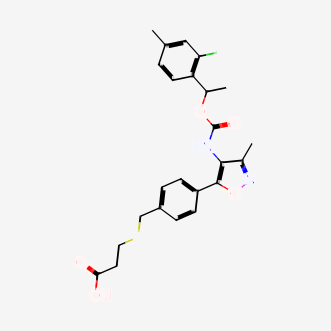 Cc1ccc(C(C)OC(=O)Nc2c(C)noc2-c2ccc(CSCCC(=O)O)cc2)c(Cl)c1